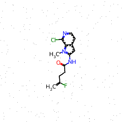 C=C(F)CCC(=O)Nc1cc2ccnc(Cl)c2n1C